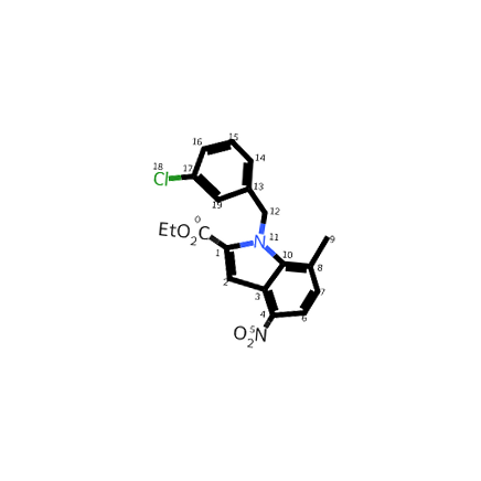 CCOC(=O)c1cc2c([N+](=O)[O-])ccc(C)c2n1Cc1cccc(Cl)c1